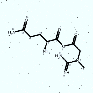 CN(CC(=O)OC(=O)[C@@H](N)CCC(N)=O)C(=N)N